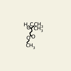 CCCOC(=O)CCC(=O)C(C)(C)C